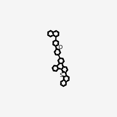 c1ccc2c(-c3ccc4c(c3)oc3cc(-c5ccc6c(c5)c5ccccc5c5c6ccc6c7ccc8ccccc8c7sc65)ccc34)cccc2c1